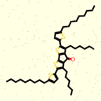 CCCCCCCCCc1ccc(-c2sc3c(c2CCCCCC)C(=O)c2c-3sc(-c3ccc(CCCCCCCCC)s3)c2CCCCCC)s1